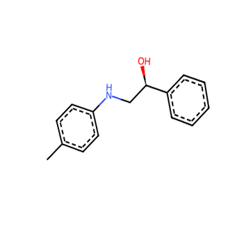 Cc1ccc(NC[C@@H](O)c2ccccc2)cc1